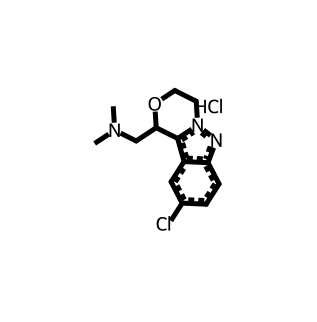 CN(C)CC1OCCn2nc3ccc(Cl)cc3c21.Cl